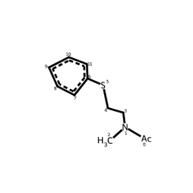 CC(=O)N(C)CCSc1ccccc1